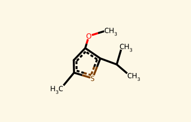 COc1cc(C)sc1C(C)C